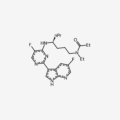 CCC[C@@H](CCCN(CC)C(=O)CC)Nc1nc(-c2c[nH]c3ncc(F)cc23)ncc1F